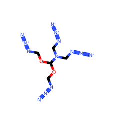 [N-]=[N+]=NCOC(OCN=[N+]=[N-])N(CN=[N+]=[N-])CN=[N+]=[N-]